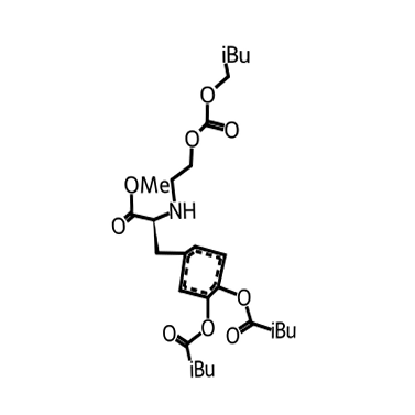 CCC(C)COC(=O)OCCN[C@@H](Cc1ccc(OC(=O)C(C)CC)c(OC(=O)C(C)CC)c1)C(=O)OC